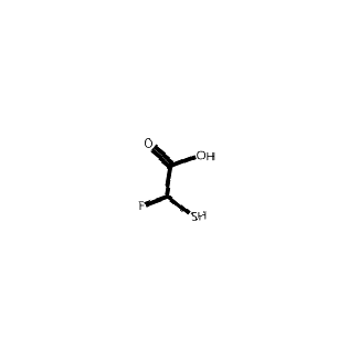 O=C(O)C(F)S